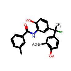 CC(=O)Nc1cc(C(F)(c2ccc(O)c(NC(=O)c3cccc(C)c3)c2)C(F)(F)F)ccc1O